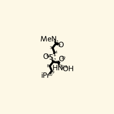 CNC(=O)CC[S+]([O-])C(CCC(C)C)C(=O)NO